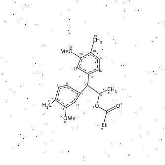 CCC(=O)OC(C)C(c1ccc(C)c(OC)c1)c1ccc(C)c(OC)c1